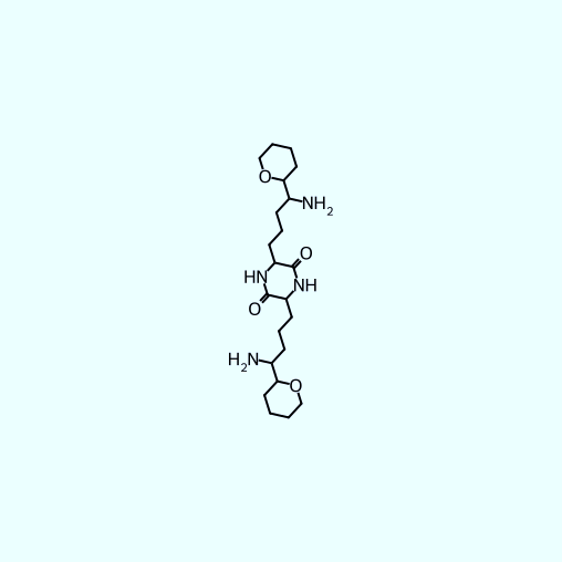 NC(CCCC1NC(=O)C(CCCC(N)C2CCCCO2)NC1=O)C1CCCCO1